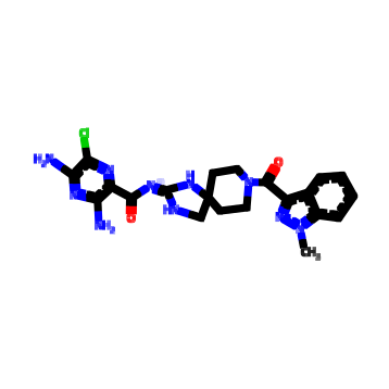 Cn1nc(C(=O)N2CCC3(CC2)CN/C(=N\C(=O)c2nc(Cl)c(N)nc2N)N3)c2ccccc21